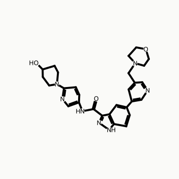 O=C(Nc1ccc(N2CCC(O)CC2)nc1)c1n[nH]c2ccc(-c3cncc(CN4CCOCC4)c3)cc12